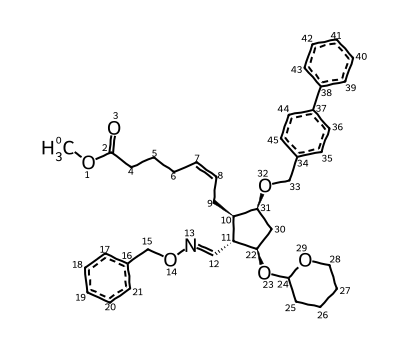 COC(=O)CCC/C=C\C[C@@H]1[C@@H](C=NOCc2ccccc2)[C@H](OC2CCCCO2)C[C@@H]1OCc1ccc(-c2ccccc2)cc1